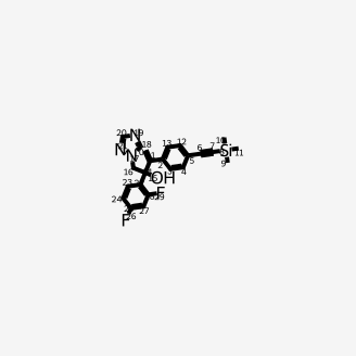 C=C(c1ccc(C#C[Si](C)(C)C)cc1)C(O)(Cn1cncn1)c1ccc(F)cc1F